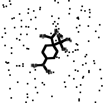 CC(C)C1(C(C)(C)C)CCC(N(C)C)CC1